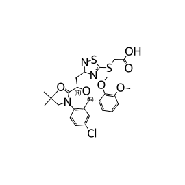 COc1cccc([C@H]2O[C@H](Cc3nsc(SCC(=O)O)n3)C(=O)N(CC(C)(C)C)c3ccc(Cl)cc32)c1OC